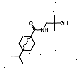 CC(C)C12CCC(C(=O)NCC(C)(C)O)(CC1)CC2